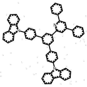 c1ccc(-c2cc(-c3ccccc3)nc(-c3cc(-c4ccc(-n5c6ccccc6c6ccccc65)cc4)cc(-c4ccc(-n5c6ccccc6c6ccccc65)cc4)c3)c2)cc1